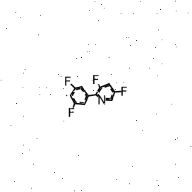 Fc1[c]c(F)cc(-c2ncc(F)cc2F)c1